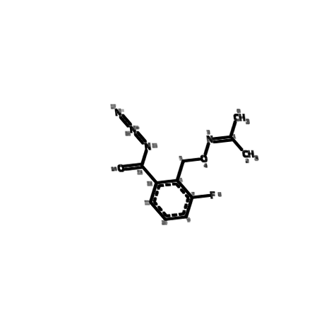 CC(C)=NOCc1c(F)cccc1C(=O)N=[N+]=[N-]